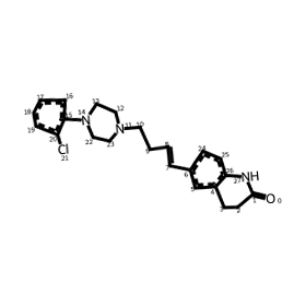 O=C1CCc2cc(C=CCCN3CCN(c4ccccc4Cl)CC3)ccc2N1